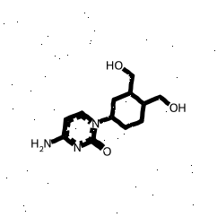 Nc1ccn(C2CCC(CO)C(CO)C2)c(=O)n1